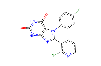 O=c1[nH]c(=O)c2c(nc(-c3cccnc3Cl)n2-c2ccc(Cl)cc2)[nH]1